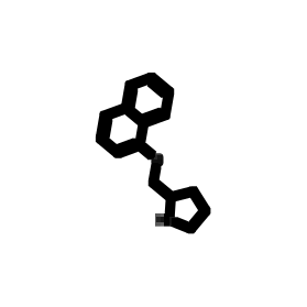 c1ccc2c(OCC3CCCN3)cccc2c1